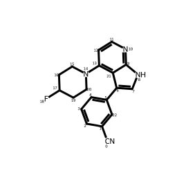 N#Cc1cccc(-c2c[nH]c3nccc(N4CCC(F)CC4)c23)c1